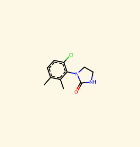 Cc1ccc(Cl)c(N2CCNC2=O)c1C